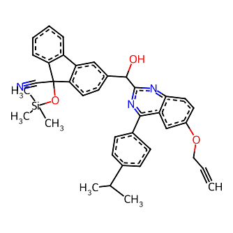 C#CCOc1ccc2nc(C(O)c3ccc4c(c3)-c3ccccc3C4(C#N)O[Si](C)(C)C)nc(-c3ccc(C(C)C)cc3)c2c1